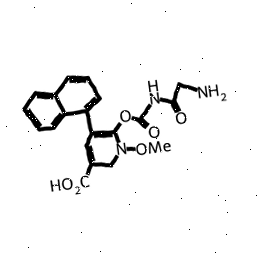 CON1CC(C(=O)O)=CC(c2cccc3ccccc23)=C1OC(=O)NC(=O)CN